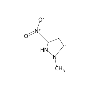 CN1[CH]CC([N+](=O)[O-])N1